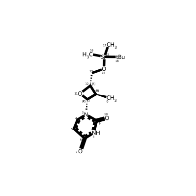 C[C@H]1[C@H](n2ccc(=O)[nH]c2=O)O[C@@H]1CO[Si](C)(C)C(C)(C)C